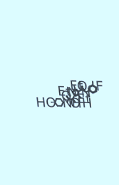 CCc1c(C(=O)Nc2ccc(F)c(C)c2)c(CC)n(CC)c1C(=O)C(=O)N[C@H]1CC[C@H](O)CC1